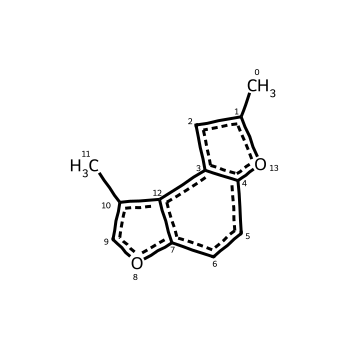 Cc1cc2c(ccc3occ(C)c32)o1